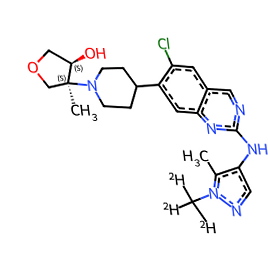 [2H]C([2H])([2H])n1ncc(Nc2ncc3cc(Cl)c(C4CCN([C@@]5(C)COC[C@H]5O)CC4)cc3n2)c1C